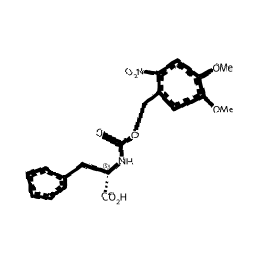 COc1cc(COC(=O)N[C@@H](Cc2ccccc2)C(=O)O)c([N+](=O)[O-])cc1OC